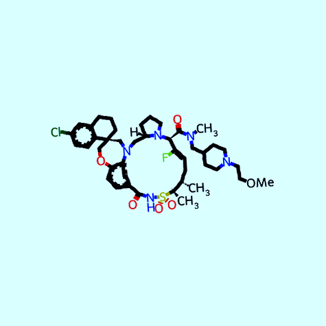 COCCN1CCC(CN(C)C(=O)[C@H]2/C(F)=C/C[C@H](C)[C@@H](C)S(=O)(=O)NC(=O)c3ccc4c(c3)N(C[C@@H]3CCCN32)C[C@@]2(CCCc3cc(Cl)ccc32)CO4)CC1